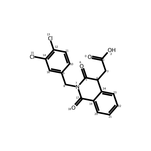 O=C(O)CC1C(=O)N(Cc2ccc(Cl)c(Cl)c2)C(=O)c2ccccc21